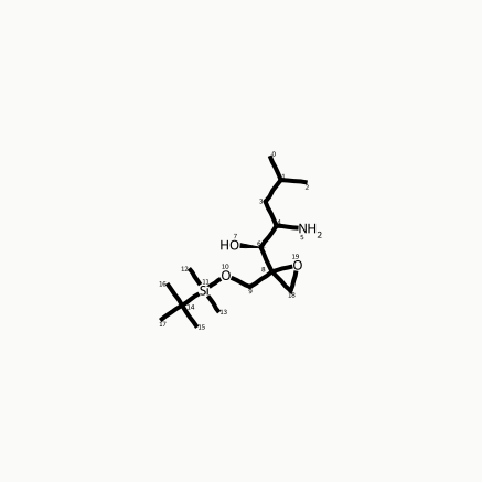 CC(C)CC(N)[C@H](O)C1(CO[Si](C)(C)C(C)(C)C)CO1